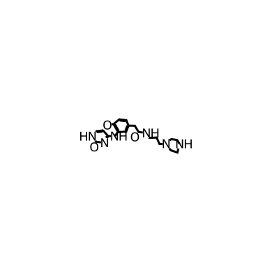 O=C(Cc1ccc2c(c1)Nc1nc(=O)[nH]cc1O2)NCCCN1CCNCC1